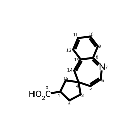 O=C(O)C1CCC2(C=CN=c3ccccc3=C2)C1